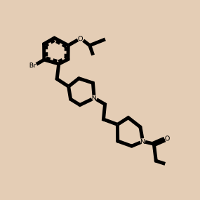 CCC(=O)N1CCC(CCN2CCC(Cc3cc(OC(C)C)ccc3Br)CC2)CC1